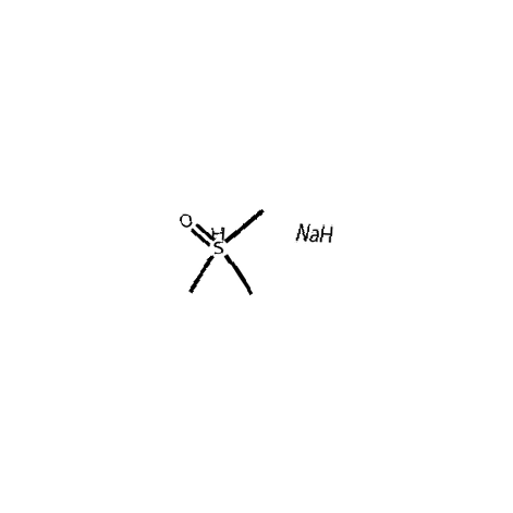 C[SH](C)(C)=O.[NaH]